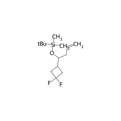 C=CCC(O[Si](C)(C)C(C)(C)C)C1CC(F)(F)C1